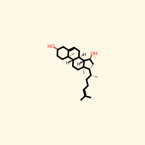 CC(C)=CCC[C@@H](C)[C@H]1C[C@H](O)[C@H]2[C@@H]3CC=C4C[C@H](O)CC[C@]4(C)[C@H]3CC[C@@]21C